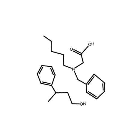 CC(CCO)c1ccccc1.CCCCCN(CC(=O)O)Cc1ccccc1